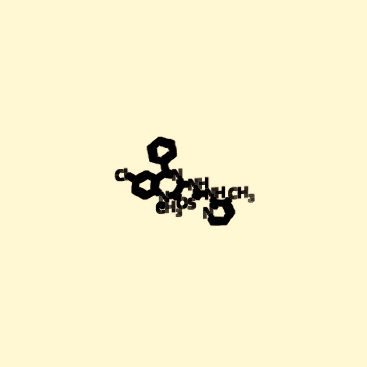 Cc1cccnc1NC(=S)NC1N=C(c2ccccc2)c2cc(Cl)ccc2N(C)C1=O